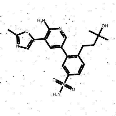 Cc1ncc(-c2cc(-c3cc(S(N)(=O)=O)ccc3CCC(C)(C)O)cnc2N)o1